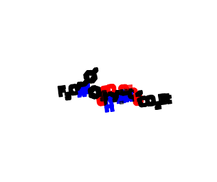 CCOC(=O)OC(C)O/N=[N+](\[O-])N(C)C(C)(C)C(=O)NS(=O)(=O)c1ccc(-n2nc(C(F)(F)F)cc2-c2ccc(C)cc2)cc1